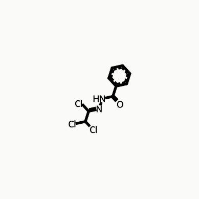 O=C(N/N=C(\Cl)C(Cl)Cl)c1ccccc1